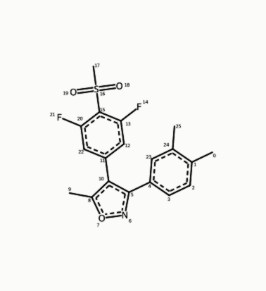 Cc1ccc(-c2noc(C)c2-c2cc(F)c(S(C)(=O)=O)c(F)c2)cc1C